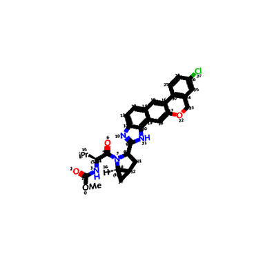 COC(=O)N[C@H](C(=O)N1C(c2nc3ccc4cc5c(cc4c3[nH]2)OCc2cc(Cl)ccc2-5)CC2C[C@H]21)C(C)C